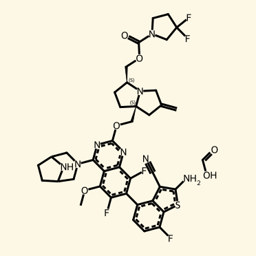 C=C1CN2[C@H](COC(=O)N3CCC(F)(F)C3)CC[C@@]2(COc2nc(N3CC4CCC(C3)N4)c3c(OC)c(F)c(-c4ccc(F)c5sc(N)c(C#N)c45)c(F)c3n2)C1.O=CO